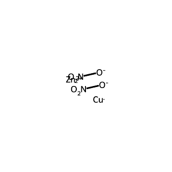 O=[N+]([O-])[O-].O=[N+]([O-])[O-].[Cu].[Zn+2]